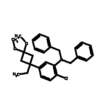 CCC1(c2ccc(Cl)c(N(Cc3ccccc3)Cc3ccccc3)c2)CC(OC)(OC)C1